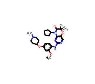 COc1cc(OC2CCN(C)CC2)ccc1Nc1ncc2c(n1)N(C1CCCC1)C(=O)C(C)(C)O2